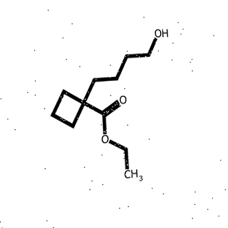 CCOC(=O)C1(CCCCO)CCC1